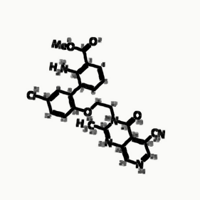 COC(=O)c1cccc(-c2cc(Cl)ccc2OCCn2c(C)nc3cncc(C#N)c3c2=O)c1N